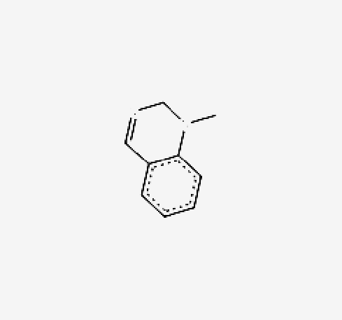 CN1CN=Cc2ccccc21